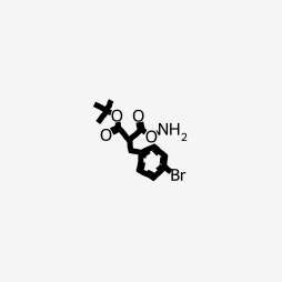 CC(C)(C)OC(=O)C(Cc1ccc(Br)cc1)C(=O)ON